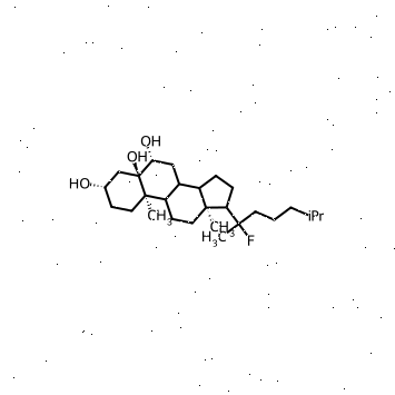 CC(C)CCCC(C)(F)C1CCC2C3C[C@@H](O)[C@@]4(O)C[C@@H](O)CC[C@]4(C)C3CC[C@@]21C